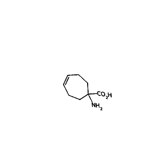 NC1(C(=O)O)CCC=CCC1